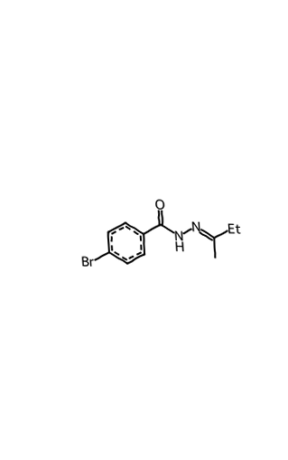 CC/C(C)=N/NC(=O)c1ccc(Br)cc1